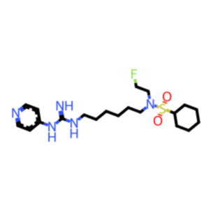 N=C(NCCCCCCN(CCF)S(=O)(=O)C1CCCCC1)Nc1ccncc1